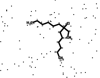 CCCCCCC(Cl)(CC)CCCCCC